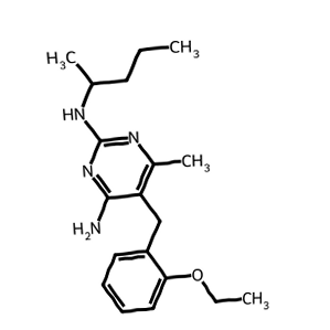 CCCC(C)Nc1nc(C)c(Cc2ccccc2OCC)c(N)n1